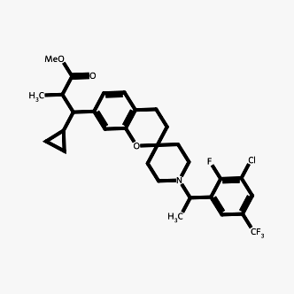 COC(=O)C(C)C(c1ccc2c(c1)OC1(CC2)CCN(C(C)c2cc(C(F)(F)F)cc(Cl)c2F)CC1)C1CC1